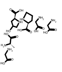 C[C@H](N)C(=O)O.NCC(=O)O.NCC(=O)O.NCC(=O)O.O=C(O)[C@@H]1CC(O)CN1.O=C(O)[C@@H]1CCCN1